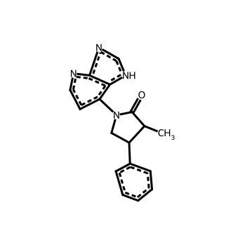 CC1C(=O)N(c2ccnc3nc[nH]c23)CC1c1ccccc1